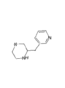 c1cncc(CC2C[N]CCN2)c1